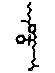 CCCCCC(O)c1ccc(CN(CCCCCCC(=O)O)S(=O)(=O)c2ccccn2)cc1